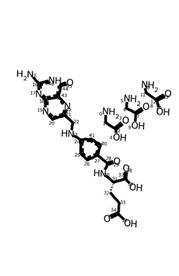 NCC(=O)O.NCC(=O)O.NCC(=O)O.Nc1nc2ncc(CNc3ccc(C(=O)N[C@@H](CCC(=O)O)C(=O)O)cc3)nc2c(=O)[nH]1